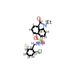 CCN1C(=O)c2cccc3c(S(=O)(=O)NCc4c(F)cccc4Cl)ccc1c23